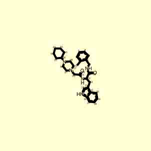 Cc1ccccc1CNC(=O)C(Cc1c[nH]c2ccccc12)NC(=O)CN1CCN(C2CCCCC2)CC1